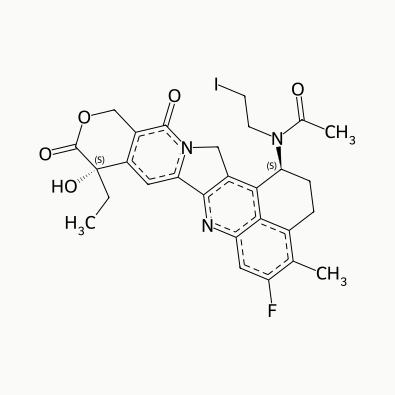 CC[C@@]1(O)C(=O)OCc2c1cc1n(c2=O)Cc2c-1nc1cc(F)c(C)c3c1c2[C@@H](N(CCI)C(C)=O)CC3